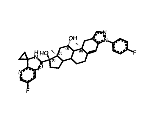 C[C@]12Cc3cnn(-c4ccc(F)cc4)c3C=C1CCC1C2[C@@H](O)C[C@@]2(C)C1CC[C@]2(O)C(=O)NC1(c2ncc(F)cc2F)CC1